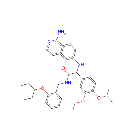 CCOc1cc(C(Nc2ccc3c(N)nccc3c2)C(=O)NCc2ccccc2OC(CC)CC)ccc1OC(C)C